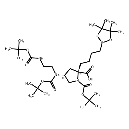 CC(C)(C)OC(=O)NCCN(C(=O)OC(C)(C)C)[C@H]1CN(C(=O)OC(C)(C)C)[C@@](CCCCB2OC(C)(C)C(C)(C)O2)(C(=O)O)C1